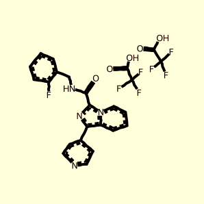 O=C(NCc1ccccc1F)c1nc(-c2ccncc2)c2ccccn12.O=C(O)C(F)(F)F.O=C(O)C(F)(F)F